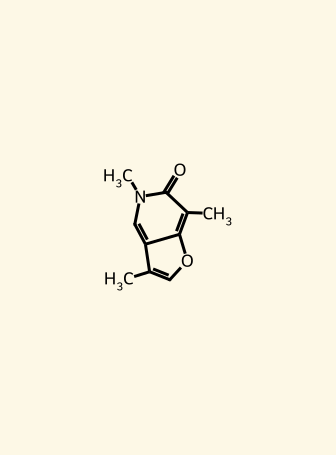 Cc1coc2c(C)c(=O)n(C)cc12